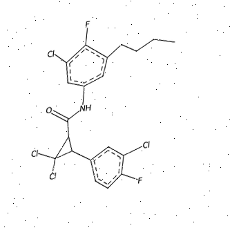 CCCCc1cc(NC(=O)C2C(c3ccc(F)c(Cl)c3)C2(Cl)Cl)cc(Cl)c1F